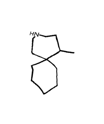 CC1CNCC12CCCCC2